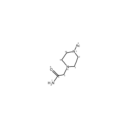 CC(=O)N1CCN(CC(N)=O)CC1